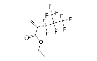 C=C(C(=O)OCC)C(F)(F)C(F)(C(F)(F)F)C(F)(F)F